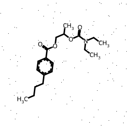 CCCCc1ccc(C(=O)OCC(C)OC(=O)N(CC)CC)cc1